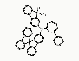 CC1(C)c2ccccc2-c2ccc(N(C3=CC=CC=C(c4ccccc4)C3)c3ccc4c(c3)C3(c5ccccc5-c5ccccc53)c3ccccc3-4)cc21